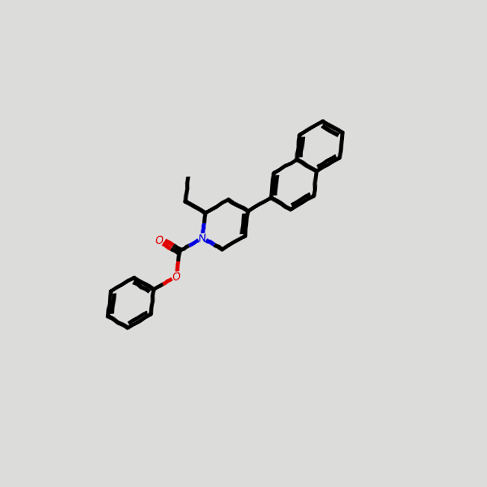 CCC1CC(c2ccc3ccccc3c2)=CCN1C(=O)Oc1ccccc1